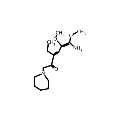 CC/C(=C\C(OC)=C(/N)OC)C(=O)CN1CCCCC1